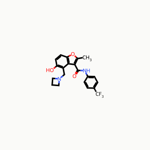 Cc1oc2ccc(O)c(CN3CCC3)c2c1C(=O)Nc1ccc(C(F)(F)F)cc1